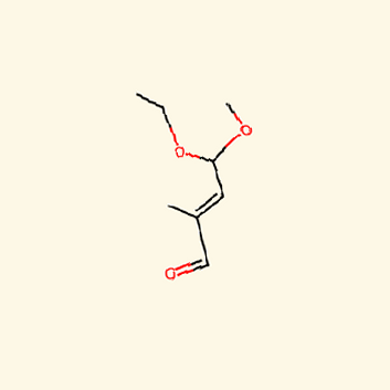 CCOC(/C=C(\C)C=O)OC